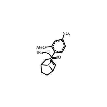 COc1cc([N+](=O)[O-])ccc1C1=CC2CCC(C1)N2C(=O)OC(C)(C)C